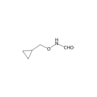 O=[C]NOCC1CC1